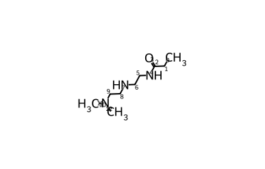 CCC(=O)NCCNCCN(C)C